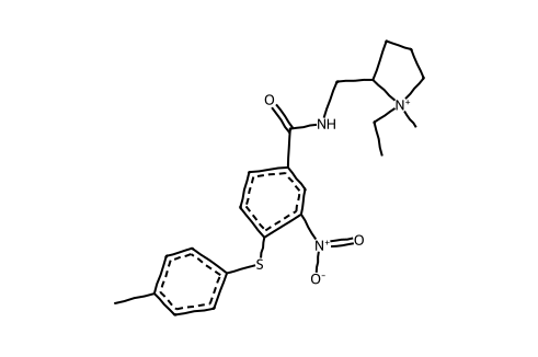 CC[N+]1(C)CCCC1CNC(=O)c1ccc(Sc2ccc(C)cc2)c([N+](=O)[O-])c1